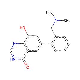 CN(C)Cc1ccccc1-c1cc(O)c2nc[nH]c(=O)c2c1